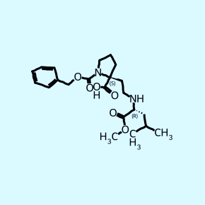 COC(=O)[C@@H](CC(C)C)NCC[C@]1(C(=O)O)CCCN1C(=O)OCc1ccccc1